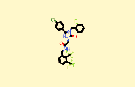 O=C(Cn1nc(-c2ccc(Cl)cc2)n(Cc2ccccc2F)c1=O)NCc1cccc(C(F)(F)F)c1C(F)(F)F